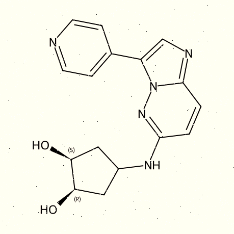 O[C@@H]1CC(Nc2ccc3ncc(-c4ccncc4)n3n2)C[C@@H]1O